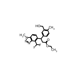 CCOC(=O)CC(c1ccc(C)c(CO)c1)c1ccc2c(nnn2C)c1C(F)F